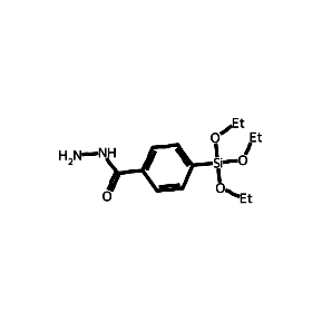 CCO[Si](OCC)(OCC)c1ccc(C(=O)NN)cc1